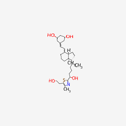 Cc1nc([C@H](O)CCC[C@@H](C)[C@H]2CC[C@H]3/C(=C/C=C4C[C@@H](O)C[C@H](O)C4)CCC[C@]23C)sc1CCO